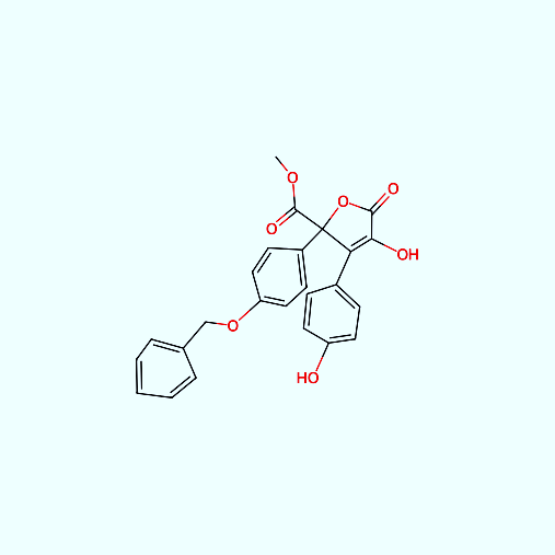 COC(=O)C1(c2ccc(OCc3ccccc3)cc2)OC(=O)C(O)=C1c1ccc(O)cc1